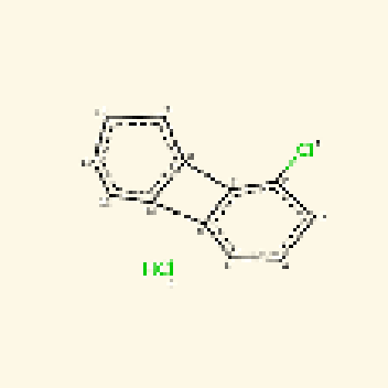 Cl.Clc1cccc2c1-c1ccccc1-2